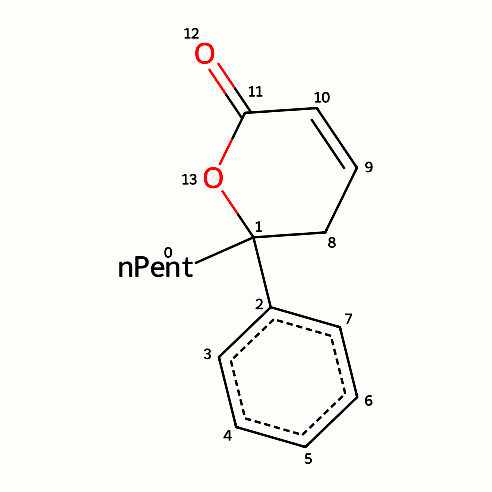 CCCCCC1(c2ccccc2)CC=CC(=O)O1